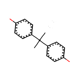 CC(C)(c1ccc([O-])cc1)c1ccc([O-])cc1.[Na+].[Na+]